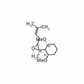 CO[C@@H]1CCC[C@@H](OC)C1[C@@]1(C)OC1CC=C(C)C